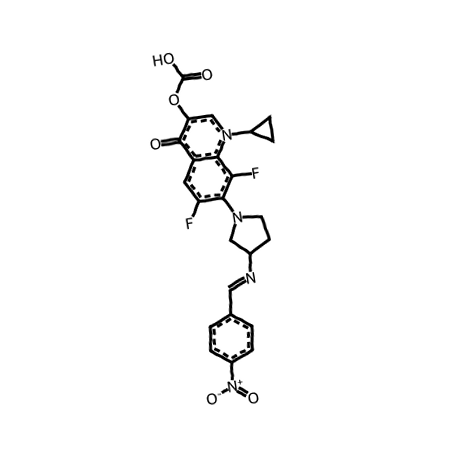 O=C(O)Oc1cn(C2CC2)c2c(F)c(N3CCC(N=Cc4ccc([N+](=O)[O-])cc4)C3)c(F)cc2c1=O